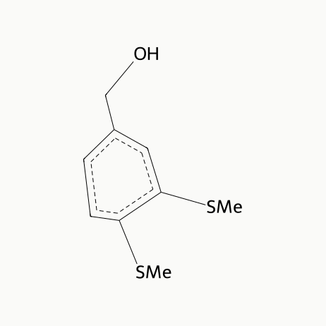 CSc1ccc(CO)cc1SC